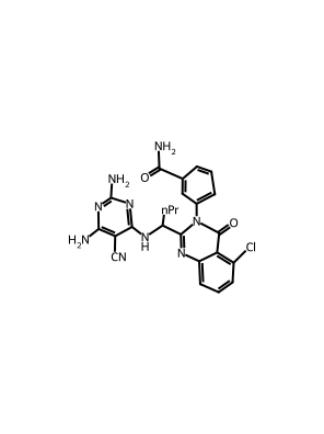 CCCC(Nc1nc(N)nc(N)c1C#N)c1nc2cccc(Cl)c2c(=O)n1-c1cccc(C(N)=O)c1